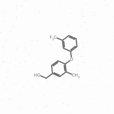 Cc1cc(CO)ccc1Oc1cccc(C(F)(F)F)c1